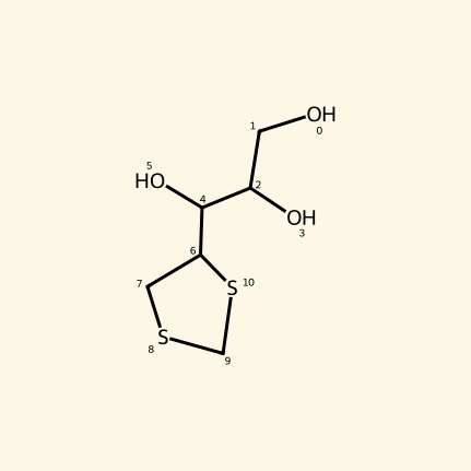 OCC(O)C(O)C1CSCS1